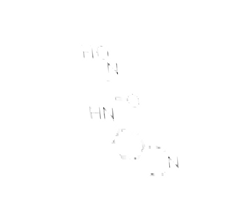 O=C(C=NO)Nc1ccc2ccncc2c1